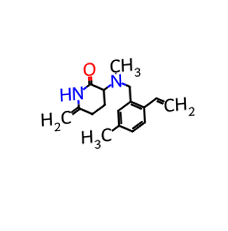 C=Cc1ccc(C)cc1CN(C)C1CCC(=C)NC1=O